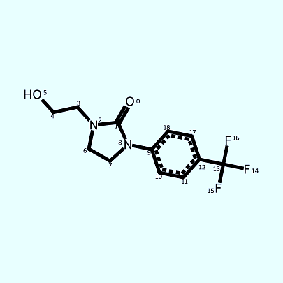 O=C1N(CCO)CCN1c1ccc(C(F)(F)F)cc1